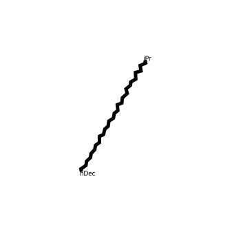 CCCCCCCCCCCCCCCCCCCCCCCCCCCCCCCCCCCCCCC(C)C